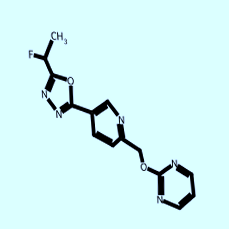 CC(F)c1nnc(-c2ccc(COc3ncccn3)nc2)o1